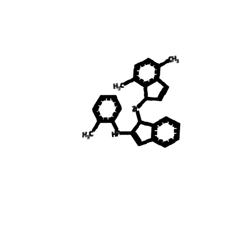 Cc1ccccc1PC1=Cc2ccccc2[CH]1[Zr][CH]1C=Cc2c(C)ccc(C)c21